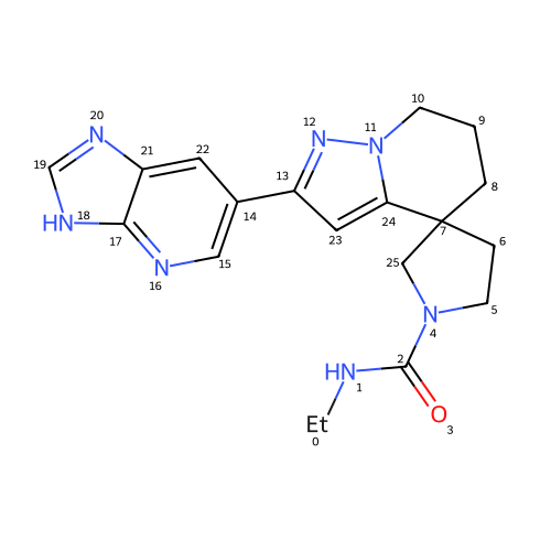 CCNC(=O)N1CCC2(CCCn3nc(-c4cnc5[nH]cnc5c4)cc32)C1